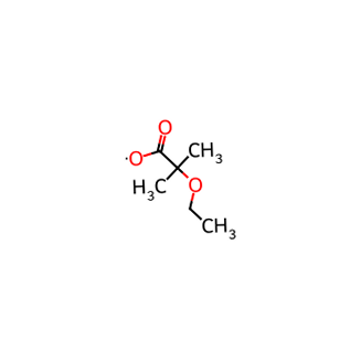 CCOC(C)(C)C([O])=O